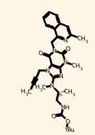 CC#CCn1c(N(C)[C@H](C)CNC(=O)OC(C)(C)C)nc2c1c(=O)n(Cc1nc(C)cc3ccccc13)c(=O)n2C